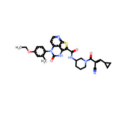 CCOc1ccc(N2C(=O)Nc3c(C(=O)NC4CCCN(C(=O)C(C#N)=CC5CC5)C4)sc4nccc2c34)c(C)c1